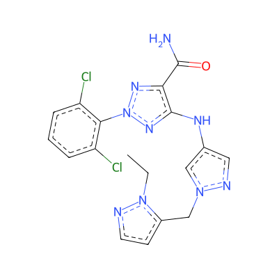 CCn1nccc1Cn1cc(Nc2nn(-c3c(Cl)cccc3Cl)nc2C(N)=O)cn1